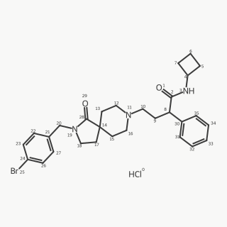 Cl.O=C(NC1CCC1)C(CCN1CCC2(CC1)CCN(Cc1ccc(Br)cc1)C2=O)c1ccccc1